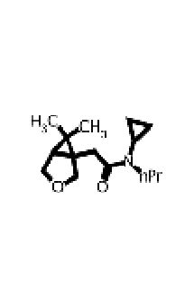 CCCN(C(=O)CC12COCC1C2(C)C)C1CC1